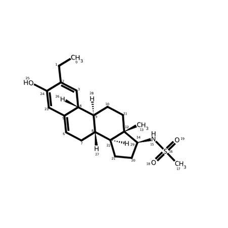 CCC1=C[C@H]2C(=CC[C@@H]3[C@@H]2CC[C@]2(C)[C@@H](NS(C)(=O)=O)CC[C@@H]32)C=C1O